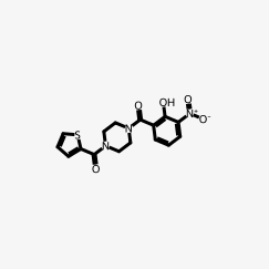 O=C(c1cccs1)N1CCN(C(=O)c2cccc([N+](=O)[O-])c2O)CC1